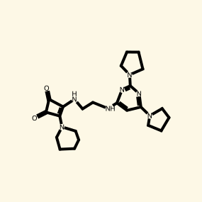 O=c1c(NCCNc2cc(N3CCCC3)nc(N3CCCC3)n2)c(N2CCCCC2)c1=O